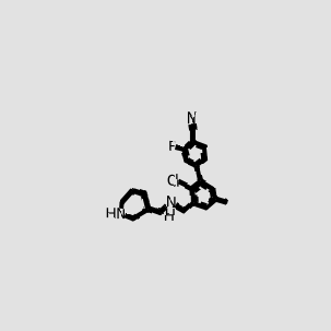 Cc1cc(CNCC2CCCNC2)c(Cl)c(-c2ccc(C#N)c(F)c2)c1